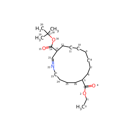 CCOC(=O)C1CCCCCCCC(C(=O)OC(C)(C)C)C=NCCCC1